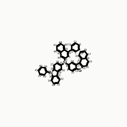 c1ccc(-c2cc(N(c3ccc4sc5ccc6ccccc6c5c4c3)c3ccc4c(c3)c3ccccc3n4-c3ccccc3)cc3ccccc23)cc1